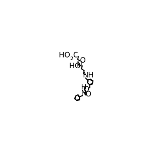 O=C(O)CCC(=O)N(O)CCCCNCc1cccc(COC(=O)NCc2ccccc2)c1